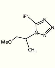 COCC(C)n1nnnc1C(C)C